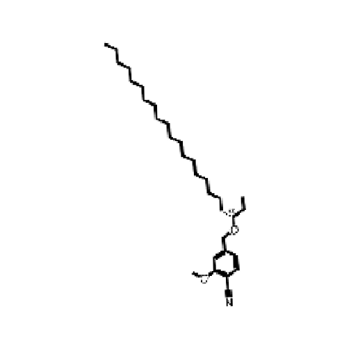 CCCCCCCCCCCCCCCCCCC[C@H](CC)OCc1ccc(C#N)c(OC)c1